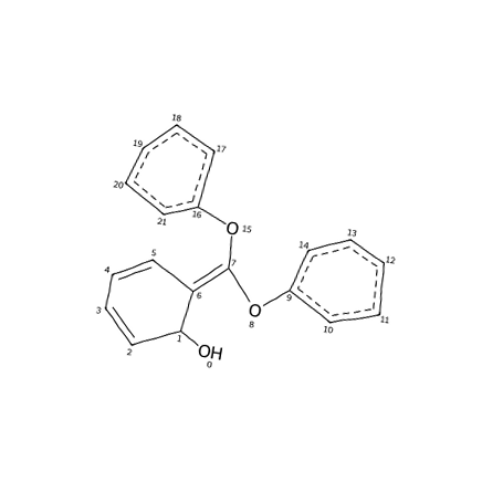 OC1C=CC=CC1=C(Oc1ccccc1)Oc1ccccc1